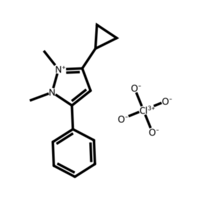 Cn1c(-c2ccccc2)cc(C2CC2)[n+]1C.[O-][Cl+3]([O-])([O-])[O-]